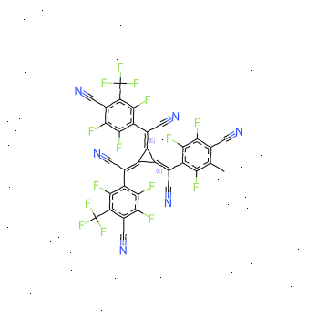 Cc1c(F)c(/C(C#N)=C2/C(=C(C#N)c3c(F)c(F)c(C#N)c(C(F)(F)F)c3F)/C2=C(/C#N)c2c(F)c(F)c(C#N)c(C(F)(F)F)c2F)c(F)c(F)c1C#N